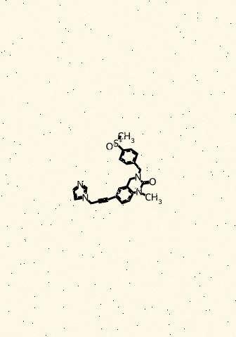 CN1C(=O)N(Cc2ccc([S+](C)[O-])cc2)Cc2cc(C#CCn3ccnc3)ccc21